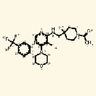 CC(=O)N1CCC(F)(CNc2ncnc(N3CCOC[C@@H]3c3ccc(C(F)(F)F)cc3)c2F)CC1